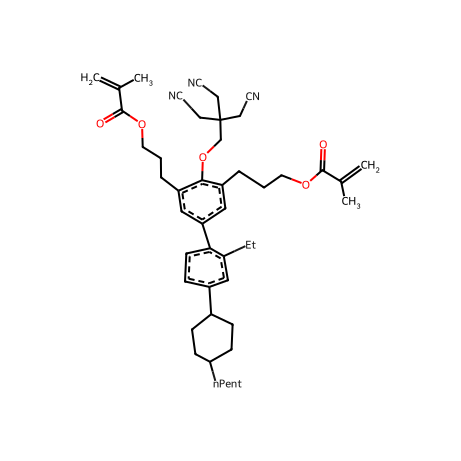 C=C(C)C(=O)OCCCc1cc(-c2ccc(C3CCC(CCCCC)CC3)cc2CC)cc(CCCOC(=O)C(=C)C)c1OCC(CC#N)(CC#N)CC#N